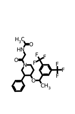 CC(=O)NCC(=O)N1CCC(OC(C)c2cc(C(F)(F)F)cc(C(F)(F)F)c2)C(c2ccccc2)C1